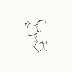 C/C=C(\N=C(/C)C1CCON1)C(F)(F)F